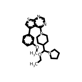 CCOC(C1CCN(c2ncnc3scc(-c4cccc(OC)c4)c23)CC1)N1CCCC1